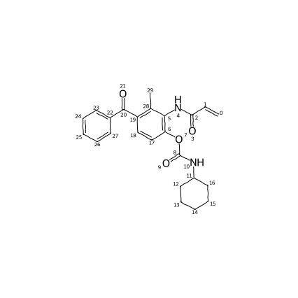 C=CC(=O)Nc1c(OC(=O)NC2CCCCC2)ccc(C(=O)c2ccccc2)c1C